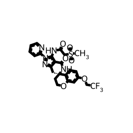 CS(=O)(=O)CC(=O)Nc1c2c(nn1-c1ccccn1)C[C@]1(CCOc3cc(OCC(F)(F)F)ccc31)NC2=O